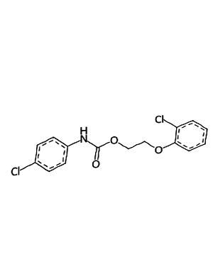 O=C(Nc1ccc(Cl)cc1)OCCOc1ccccc1Cl